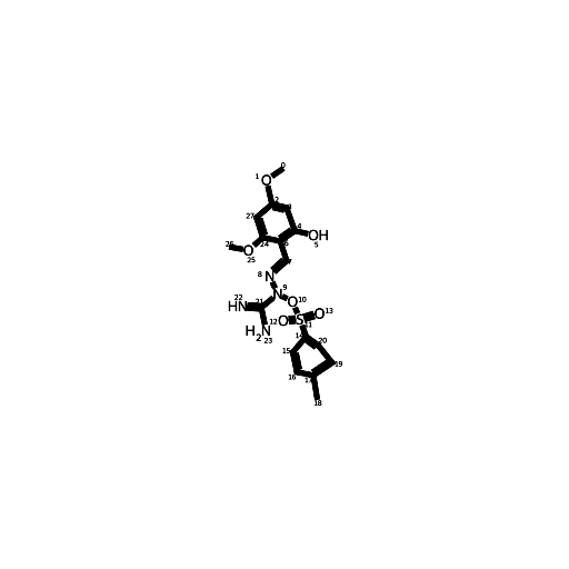 COc1cc(O)c(C=NN(OS(=O)(=O)c2ccc(C)cc2)C(=N)N)c(OC)c1